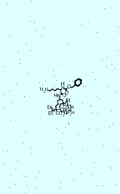 CCN(CC)C(CCCC(CC(CCC(=O)O)(C(=O)O)N(CC)CC)NC(=O)C(CCCCN)NC(=O)OCc1ccccc1)(CCC(=O)O)C(=O)O